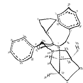 O=C(C1CC1)N(Cc1ccccc1)[C@H]1[C@@H]2CC[C@H]1CN(Cc1ccccc1)C2